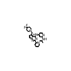 C=C(C)Nc1cc(Nc2nc(-c3ccccn3)nn3ccc(CN4CCC(F)(F)CC4)c23)ccn1